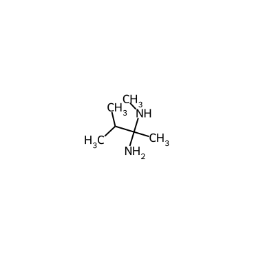 CNC(C)(N)C(C)C